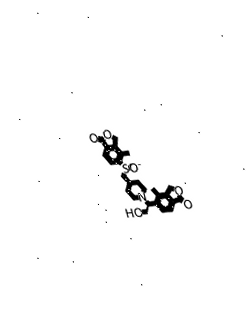 Cc1c([C@@H](CO)N2CCC(C[S+]([O-])c3ccc4c(c3C)COC4=O)CC2)ccc2c1COC2=O